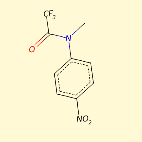 CN(C(=O)C(F)(F)F)c1ccc([N+](=O)[O-])cc1